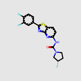 O=C(Nc1ccc2sc(-c3ccc(F)c(F)c3)nc2n1)N1CC[C@H](F)C1